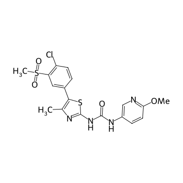 COc1ccc(NC(=O)Nc2nc(C)c(-c3ccc(Cl)c(S(C)(=O)=O)c3)s2)cn1